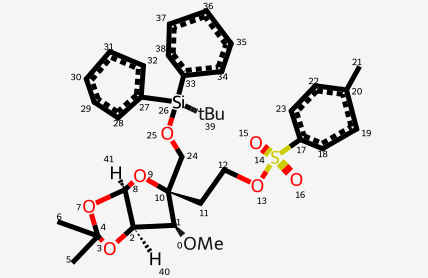 CO[C@H]1[C@H]2OC(C)(C)O[C@H]2O[C@]1(CCOS(=O)(=O)c1ccc(C)cc1)CO[Si](c1ccccc1)(c1ccccc1)C(C)(C)C